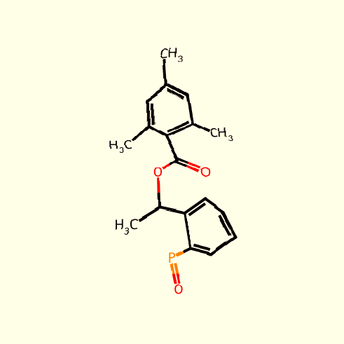 Cc1cc(C)c(C(=O)OC(C)c2ccccc2P=O)c(C)c1